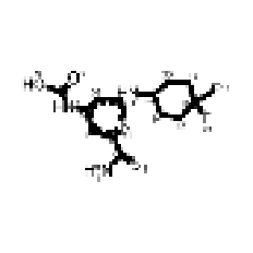 NC(=S)c1cc(NC(=O)O)cc(NC2CCC(F)(F)CC2)n1